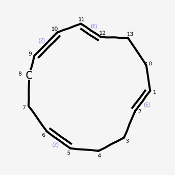 [CH]1/C=C/CC/C=C\CC/C=C\C=C\C1